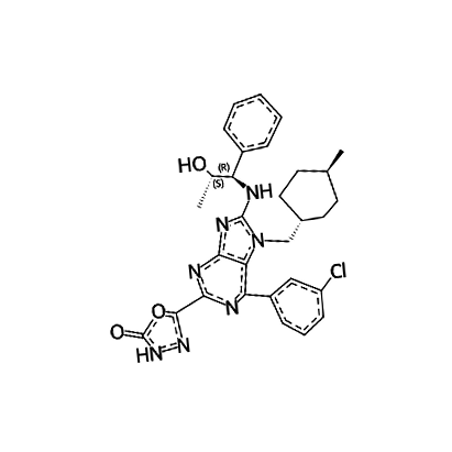 C[C@H](O)[C@H](Nc1nc2nc(-c3n[nH]c(=O)o3)nc(-c3cccc(Cl)c3)c2n1C[C@H]1CC[C@H](C)CC1)c1ccccc1